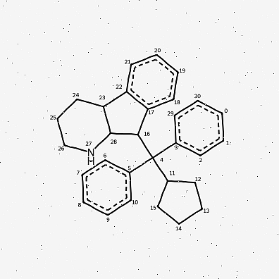 c1ccc(C(c2ccccc2)(C2CCCC2)C2c3ccccc3C3CCCNC32)cc1